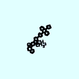 CC1(C)c2cc(-c3ccc(-c4c5ccccc5c(-c5ccccc5)c5ccccc45)cc3)ccc2-c2cc3oc4ccc5ccccc5c4c3cc21